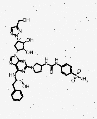 NS(=O)(=O)c1ccc(NC(=O)NC2CCN(c3nc(N[C@H](CO)Cc4ccccc4)c4ncn([C@@H]5C[C@H](n6ncc(CO)n6)[C@@H](O)[C@H]5O)c4n3)C2)cc1